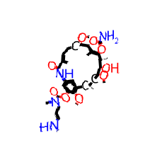 CNCCCN(C)C(=O)Oc1cc2cc(c1OC)C[C@@H](C)C[C@H](OC)[C@H](O)[C@@H](C)/C=C(\C)[C@H](OC(N)=O)[C@@H](OC)CC/C=C(\C)C(=O)N2